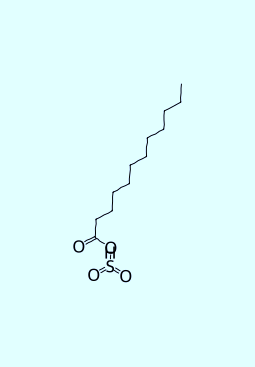 CCCCCCCCCCCC(=O)O[SH](=O)=O